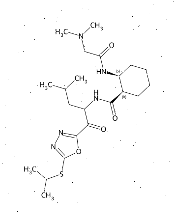 CC(C)CC(NC(=O)[C@@H]1CCCC[C@@H]1NC(=O)CN(C)C)C(=O)c1nnc(SC(C)C)o1